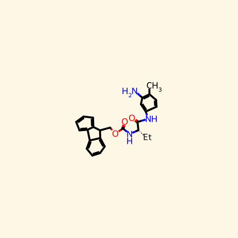 CC[C@H](NC(=O)OCC1c2ccccc2-c2ccccc21)C(=O)Nc1ccc(C)c(N)c1